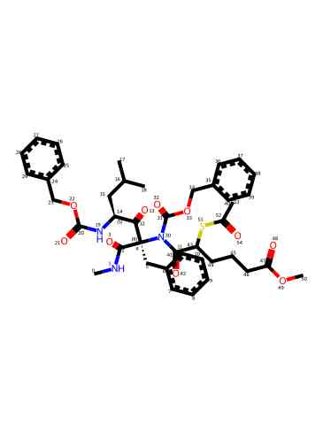 CNC(=O)[C@@](Cc1ccccc1)(C(=O)[C@H](CC(C)C)NC(=O)OCc1ccccc1)N(C(=O)OCc1ccccc1)C(=O)C(CCCC(=O)OC)SC(C)=O